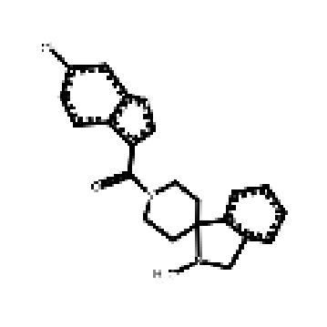 CN1Cc2ccccc2C12CCN(C(=O)c1c[nH]c3cc(Cl)ccc13)CC2